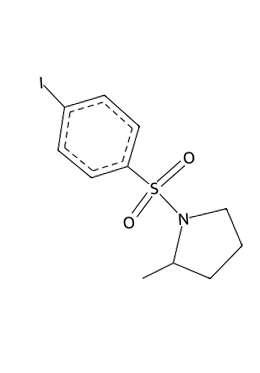 CC1CCCN1S(=O)(=O)c1ccc(I)cc1